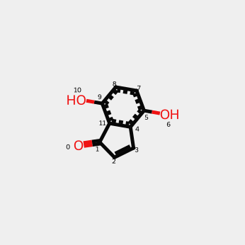 O=C1C=Cc2c(O)ccc(O)c21